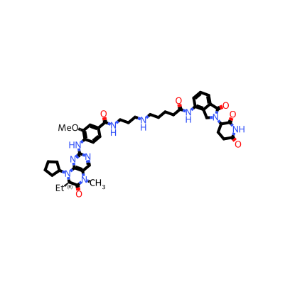 CC[C@@H]1C(=O)N(C)c2cnc(Nc3ccc(C(=O)NCCCNCCCCC(=O)Nc4cccc5c4CN(C4CCC(=O)NC4=O)C5=O)cc3OC)nc2N1C1CCCC1